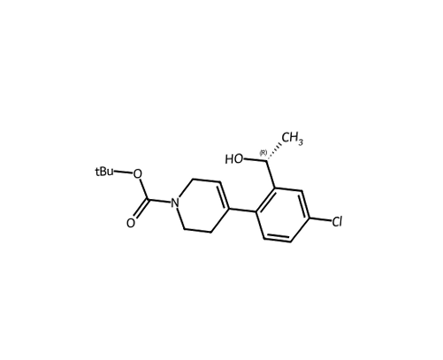 C[C@@H](O)c1cc(Cl)ccc1C1=CCN(C(=O)OC(C)(C)C)CC1